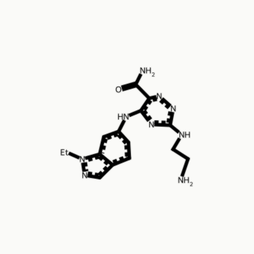 CCn1ncc2ccc(Nc3nc(NCCN)nnc3C(N)=O)cc21